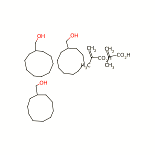 C=C(C)C(=O)O.C=C(C)C(=O)O.OCC1CCCCCCCCC1.OCC1CCCCCCCCC1.OCC1CCCCCCCCC1